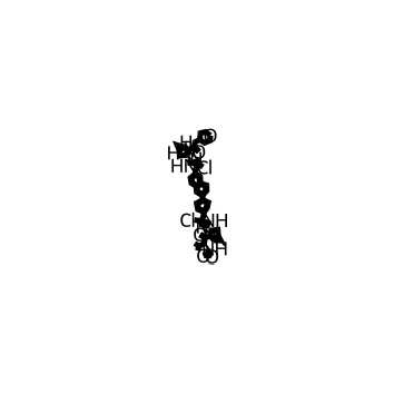 COC(=O)N[C@H](C(=O)N1C2C(C[C@H]1c1nc(Cl)c(-c3ccc(-c4ccc5cc(-c6[nH]c([C@@H]7C[C@H]8C[C@H]8N7C(=O)CC7CCOCC7)nc6Cl)ccc5c4)cc3)[nH]1)[C@H]2C)C(C)C